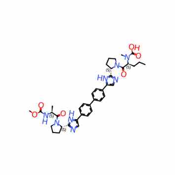 CCC[C@@H](C(=O)N1CCC[C@H]1c1ncc(-c2ccc(-c3ccc(-c4cnc([C@@H]5CCCN5C(=O)[C@H](C)NC(=O)OC)[nH]4)cc3)cc2)[nH]1)N(C)C(=O)O